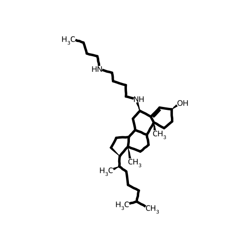 CCCCNCCCCN[C@@H]1CC2C(CC[C@@]3(C)C2CC[C@@H]3[C@H](C)CCCC(C)C)[C@@]2(C)CC[C@H](O)C=C12